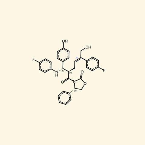 O=C1OC[C@H](c2ccccc2)N1C(=O)[C@H](C/C=C(/CO)c1ccc(F)cc1)[C@H](Nc1ccc(F)cc1)c1ccc(O)cc1